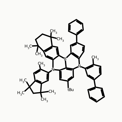 Cc1ccc(-c2ccccc2)cc1N1c2ccc(-c3ccccc3)cc2B2c3cc4c(cc3N(c3cc5c(cc3C)C(C)(C)CC5(C)C)c3cc(C(C)(C)C)cc1c32)C(C)(C)CCC4(C)C